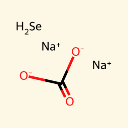 O=C([O-])[O-].[Na+].[Na+].[SeH2]